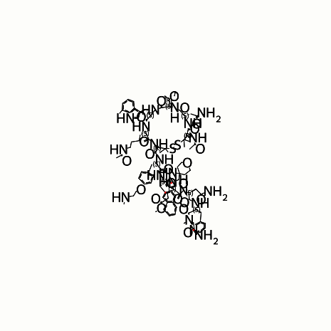 CNCCOc1ccc(C[C@H](NC(=O)[C@H]2NC(=O)[C@H](CCCCNC(C)=O)NC(=O)[C@H](Cc3c[nH]c4c(C)cccc34)NC(=O)[C@H]([C@@H](C)OC)NC(=O)[C@H](CC(N)=O)NC(=O)[C@@H](NC(C)=O)C(C)(C)SSC2(C)C)C(=O)N[C@@H](Cc2ccc3ccccc3c2)C(=O)NC2(C(=O)N[C@@H](CCC(=O)OC)C(=O)N[C@@H](CC(N)=O)C(=O)N[C@@H](Cc3cccnc3)C(=O)N(C)CC(N)=O)CCOCC2)cc1